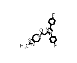 Cc1nc2c(s1)CCN(C(=O)Cc1nc(-c3ccc(F)cc3)cn1-c1ccc(F)cc1)CC2